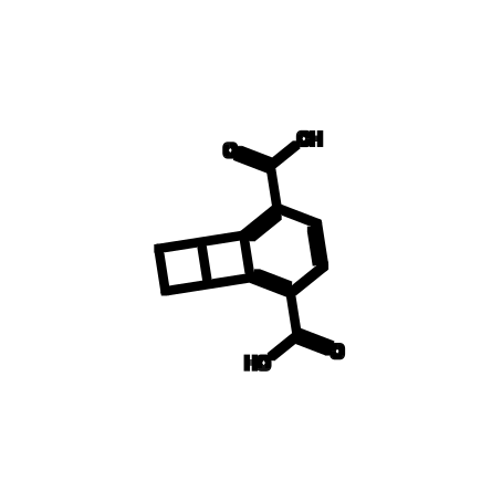 O=C(O)c1ccc(C(=O)O)c2c1C1CCC21